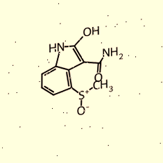 C[S+]([O-])c1cccc2[nH]c(O)c(C(N)=O)c12